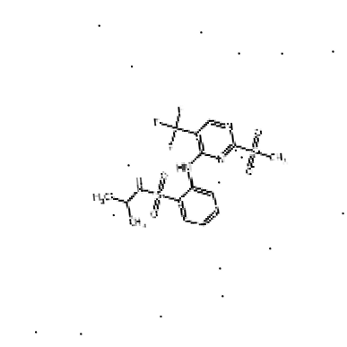 CC(C)NS(=O)(=O)c1ccccc1Nc1nc(S(C)(=O)=O)ncc1C(F)(F)F